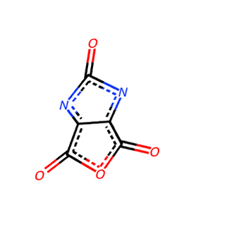 O=c1nc2c(=O)oc(=O)c-2n1